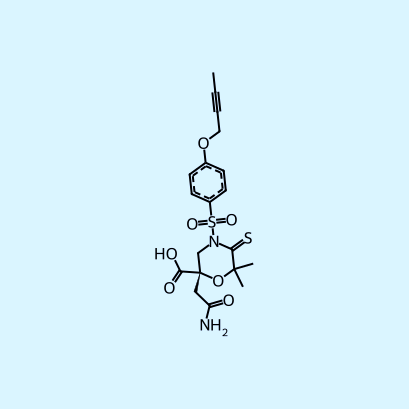 CC#CCOc1ccc(S(=O)(=O)N2C[C@@](CC(N)=O)(C(=O)O)OC(C)(C)C2=S)cc1